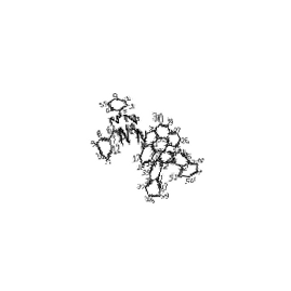 c1ccc(-c2nc(-c3ccccc3)nc(-n3c4cccc5c4c4c6c(cccc6ccc43)C53c4ccc5ccccc5c4-c4c3ccc3ccccc43)n2)cc1